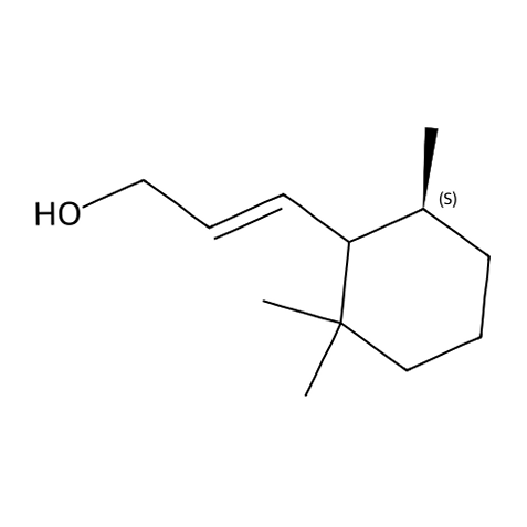 C[C@H]1CCCC(C)(C)C1C=CCO